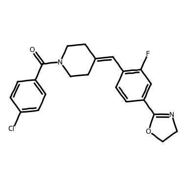 O=C(c1ccc(Cl)cc1)N1CCC(=Cc2ccc(C3=NCCO3)cc2F)CC1